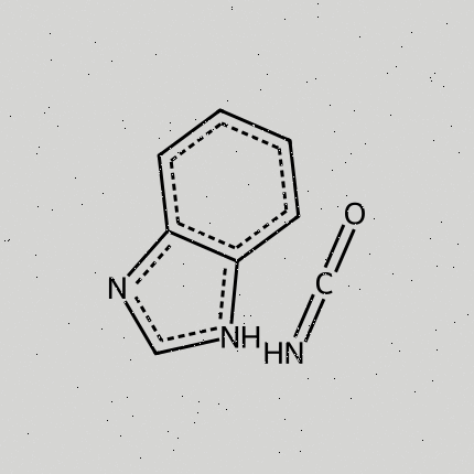 N=C=O.c1ccc2[nH]cnc2c1